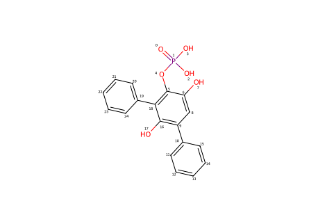 O=P(O)(O)Oc1c(O)cc(-c2ccccc2)c(O)c1-c1ccccc1